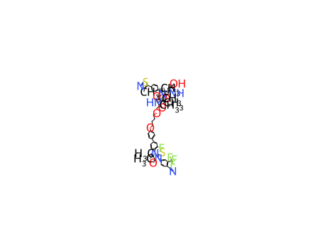 Cc1ncsc1-c1ccc([C@H](C)N(C(=O)[C@@H]2C[C@@H](O)CN2)C(=O)[C@@H](NC(=O)COCCCCOc2ccc(-c3ccc(N4C(=S)N(c5ccc(C#N)c(C(F)(F)F)c5)C(=O)C4(C)C)c(F)c3)cc2)C(C)(C)C)cc1